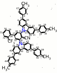 Cc1ccc(-c2ccc3c(c2)c2cc(-c4ccc(C)cc4)ccc2n3-c2cc(-c3ccccc3C(F)(F)F)cc(-n3c4ccc(-c5ccc(C)cc5)cc4c4cc(-c5ccc(C)cc5)ccc43)c2C#N)cc1